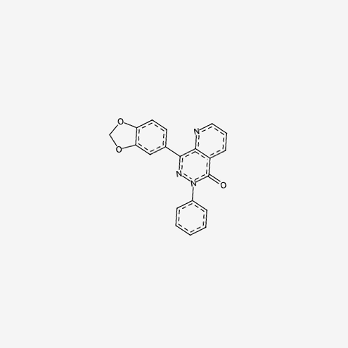 O=c1c2cccnc2c(-c2ccc3c(c2)OCO3)nn1-c1ccccc1